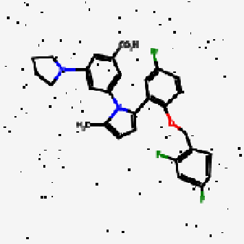 Cc1ccc(-c2cc(Br)ccc2OCc2ccc(F)cc2F)n1-c1cc(C(=O)O)cc(N2CCCC2)c1